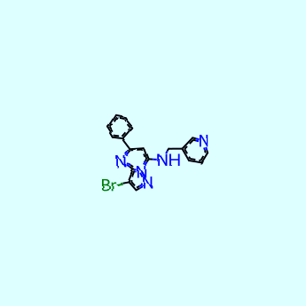 Brc1cnn2c(NCc3cccnc3)cc(-c3ccccc3)nc12